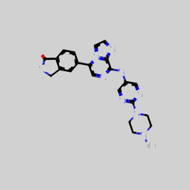 CC(C)N1CCN(c2ncc(Nc3ncc(-c4ccc5c(c4)CNC5=O)n4ccnc34)cn2)CC1